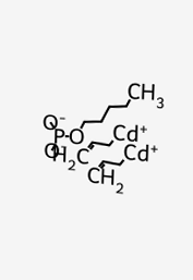 C=C[CH2][Cd+].C=C[CH2][Cd+].CCCCCOP([O-])[O-]